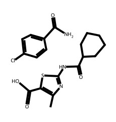 Cc1nc(NC(=O)C2CCCCC2)sc1C(=O)O.NC(=O)c1ccc(Cl)cc1